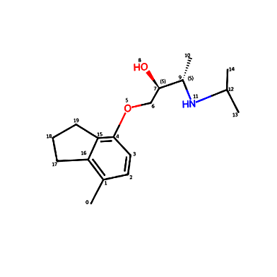 Cc1ccc(OC[C@@H](O)[C@H](C)NC(C)C)c2c1CCC2